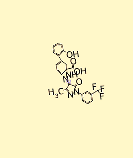 CC1=NN(c2cccc(C(F)(F)F)c2)C(=O)/C1=N\NC1(C(=O)O)C=CC=C(c2ccccc2O)C1